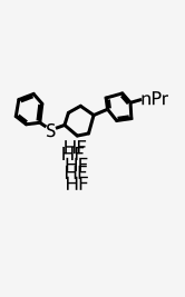 CCCc1ccc(C2CCC(Sc3ccccc3)CC2)cc1.F.F.F.F.F